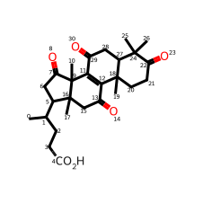 CC(CCC(=O)O)C1CC(=O)C2(C)C3=C(C(=O)CC12C)C1(C)CCC(=O)C(C)(C)C1CC3=O